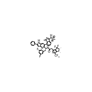 C[C@@H]1c2c(C(F)(F)F)nn(CC(=O)N[C@@H](Cc3cc(F)cc(F)c3)c3nc4cc(-c5ccccc5)[nH]c4cc3-c3cccc4c(NS(C)(=O)=O)nn(C)c34)c2C(F)(F)[C@@H]1C